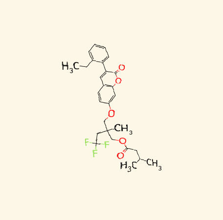 CCc1ccccc1-c1cc2ccc(OCC(C)(COC(=O)CC(C)C)CC(F)(F)F)cc2oc1=O